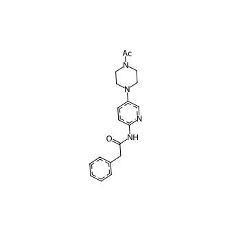 CC(=O)N1CCN(c2ccc(NC(=O)Cc3ccccc3)nc2)CC1